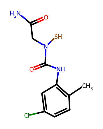 Cc1ccc(Cl)cc1NC(=O)N(S)CC(N)=O